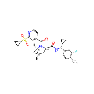 O=C(NC(c1ccc(C(F)(F)F)c(F)c1)C1CC1)[C@H]1C[C@H]2C[C@H]2N1C(=O)c1ccnc(S(=O)(=O)C2CC2)c1